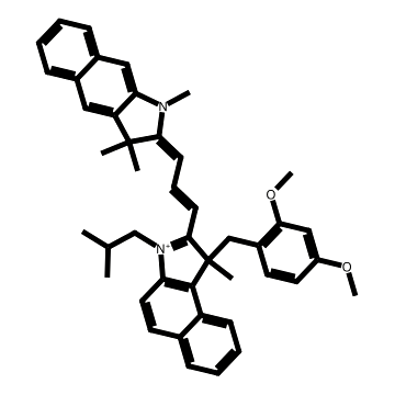 COc1ccc(CC2(C)C(/C=C/C=C3/N(C)c4cc5ccccc5cc4C3(C)C)=[N+](CC(C)C)c3ccc4ccccc4c32)c(OC)c1